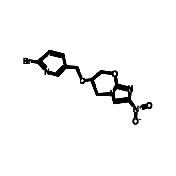 O=[N+]([O-])c1cn2c(n1)OCC(OCc1ccc(Br)nc1)C2